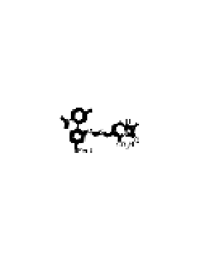 C=C(C)[C@@H]1CCC(C)=C[C@H]1c1ccc(CCCCC)cc1OCSCC1=C(C(=O)O)N2C(=O)C(C)[C@H]2CC1